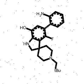 CC(C)(C)CN1CCC2(CC1)CNc1c(O)cc(-c3ccccc3N)c(F)c12